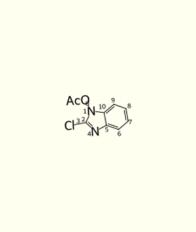 CC(=O)On1c(Cl)nc2ccccc21